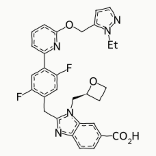 CCn1nccc1COc1cccc(-c2cc(F)c(Cc3nc4ccc(C(=O)O)cc4n3C[C@@H]3CCO3)cc2F)n1